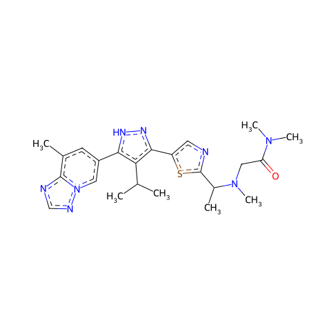 Cc1cc(-c2[nH]nc(-c3cnc(C(C)N(C)CC(=O)N(C)C)s3)c2C(C)C)cn2ncnc12